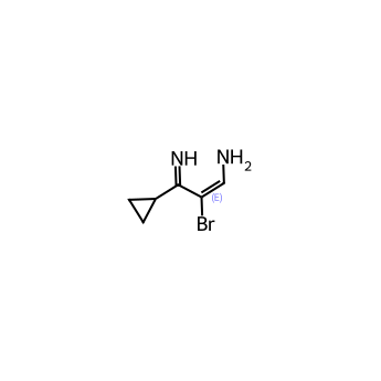 N=C(/C(Br)=C\N)C1CC1